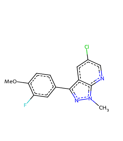 COc1ccc(-c2nn(C)c3ncc(Cl)cc23)cc1F